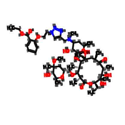 CCOC(=O)c1ccccc1OCCn1cc(CN(C)[C@H]2C[C@@H](C)O[C@@H](O[C@@H]3[C@@H](C)[C@H](OC[C@H]4C[C@@](C)(OC)[C@@H](O)[C@H](C)O4)[C@@H](C)C(=O)O[C@H](CC)[C@@](C)(O)[C@H](O)[C@@H](C)C(=O)[C@H](C)C[C@@]3(C)O)[C@@H]2O)nn1